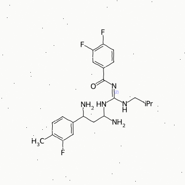 Cc1ccc(C(N)CC(N)N/C(=N\C(=O)c2ccc(F)c(F)c2)NCC(C)C)cc1F